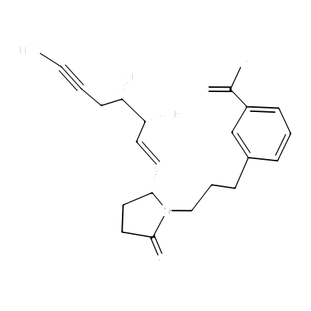 CC#CC[C@H](C)[C@H](O)/C=C/[C@H]1CCC(=O)N1CCCc1cccc(C(=O)O)c1